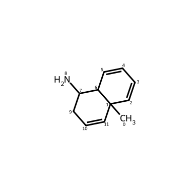 CC12C=CC=CC1C(N)CC=C2